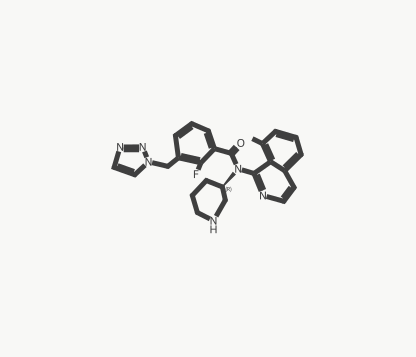 Cc1cccc2ccnc(N(C(=O)c3cccc(Cn4ccnn4)c3F)[C@@H]3CCCNC3)c12